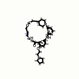 O=C1NC/C=C/COCCC2CCN(CC2)c2ccnc(n2)Nc2ccc(OCCN3CCCC3)c1c2